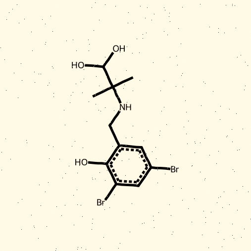 CC(C)(NCc1cc(Br)cc(Br)c1O)C(O)O